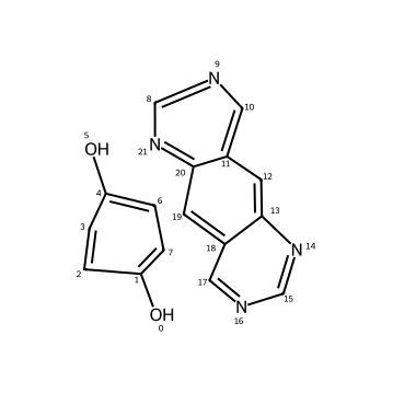 Oc1ccc(O)cc1.c1ncc2cc3ncncc3cc2n1